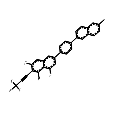 Cc1ccc2cc(-c3ccc(-c4cc(F)c5c(F)c(C#CC(F)(F)F)c(F)cc5c4)cc3)ccc2c1